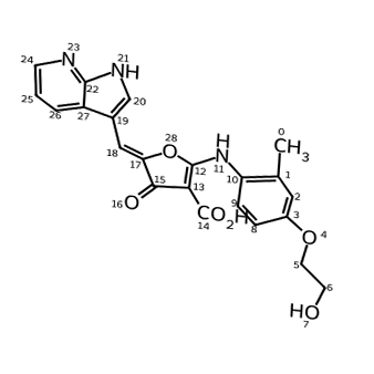 Cc1cc(OCCO)ccc1NC1=C(C(=O)O)C(=O)C(=Cc2c[nH]c3ncccc23)O1